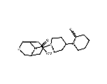 COC(=O)N1C2COCC1CC(N1CCC(N3CCCCC3=O)CC1)C2